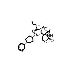 CCNC(=O)N1CCC(F)(F)[C@@]2(CCOC(=O)N2)[C@@H]1CO[C@H]1CC[C@@H](c2ccccc2)CC1